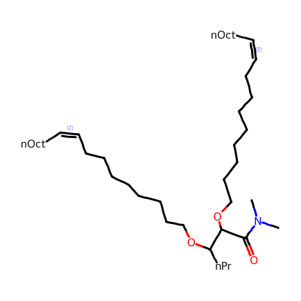 CCCCCCCC/C=C\CCCCCCCCOC(CCC)C(OCCCCCCCC/C=C\CCCCCCCC)C(=O)N(C)C